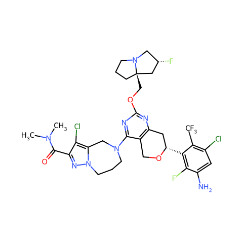 CN(C)C(=O)c1nn2c(c1Cl)CN(c1nc(OC[C@@]34CCCN3C[C@H](F)C4)nc3c1CO[C@@H](c1c(F)c(N)cc(Cl)c1C(F)(F)F)C3)CCC2